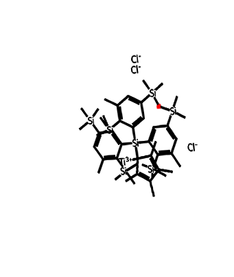 CC1=C(C)[C]([Ti+3])([Si](c2cc([Si](C)(C)C)cc(C)c2[Si](C)(C)C)(c2cc([Si](C)(C)C)cc(C)c2[Si](C)(C)C)c2cc([Si](C)(C)C)cc(C)c2[Si](C)(C)C)C(C)=C1C.[Cl-].[Cl-].[Cl-]